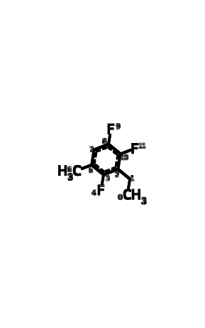 CCc1c(F)c(C)cc(F)c1F